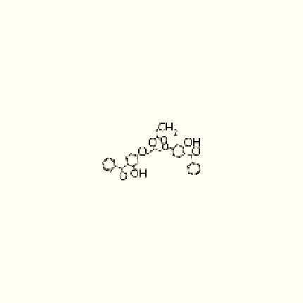 C=CC(=O)OC(COc1ccc(C(=O)c2ccccc2)c(O)c1)COc1ccc(C(=O)c2ccccc2)c(O)c1